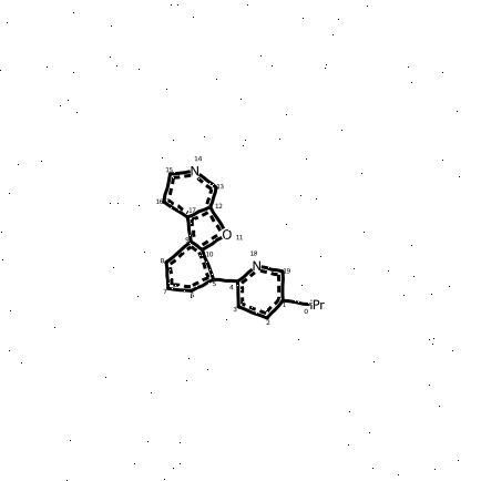 CC(C)c1ccc(-c2cccc3c2oc2cnccc23)nc1